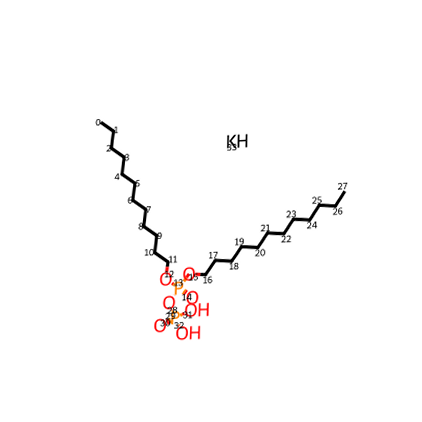 CCCCCCCCCCCCOP(=O)(OCCCCCCCCCCCC)OP(=O)(O)O.[KH]